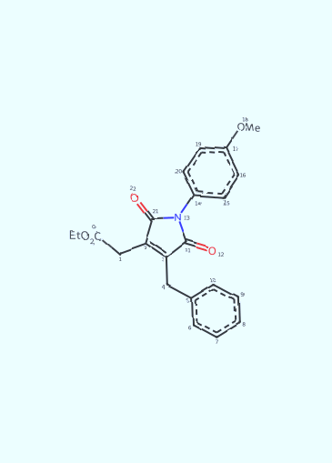 CCOC(=O)CC1=C(Cc2ccccc2)C(=O)N(c2ccc(OC)cc2)C1=O